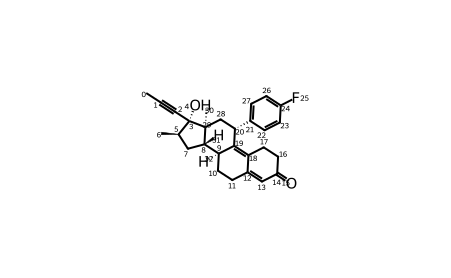 CC#C[C@]1(O)[C@H](C)C[C@H]2[C@@H]3CCC4=CC(=O)CCC4=C3[C@@H](c3ccc(F)cc3)C[C@@]21C